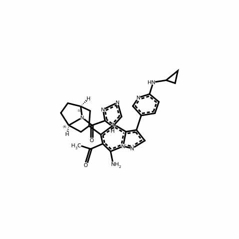 CC(=O)c1c(C2C[C@H]3CC[C@@H](C2)N3C(=O)c2nnc[nH]2)nc2c(-c3ccc(NC4CC4)nc3)cnn2c1N